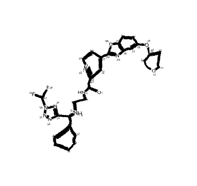 O=C(NCCNC(c1ccccc1)c1nnn(C(F)F)n1)c1cc(-c2nc3cc(O[C@H]4CCOC4)ccc3o2)ccn1